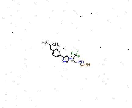 CC(C)Cc1ccc(-c2cn([C@H](CNSS)C(F)(F)F)cn2)cc1